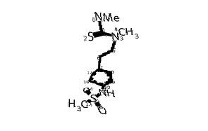 CNC(=S)N(C)CCc1ccc(NS(C)(=O)=O)cc1